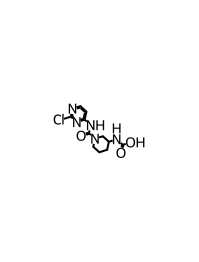 O=C(O)NC1CCCN(C(=O)Nc2ccnc(Cl)n2)C1